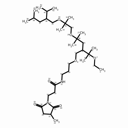 CCOC(C)(C)C(COCCCNC(=O)CCN1C(=O)CC(C)C1=O)CC(C)(C)OCC(C)(C)OCC(CC(C)C)C(C)C